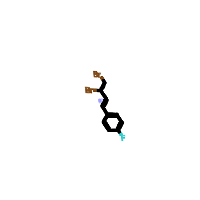 Fc1ccc(/C=C/C(Br)CBr)cc1